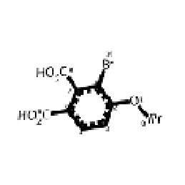 CC(C)Oc1ccc(C(=O)O)c(C(=O)O)c1Br